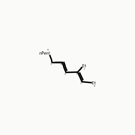 CC/[C]=C(/C=CCCCCCC)CC